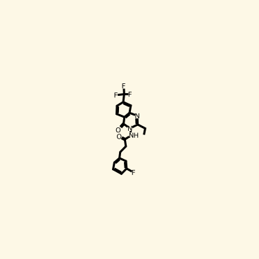 CCc1nc2cc(C(F)(F)F)ccc2c(=O)n1NC(=O)CCc1cccc(F)c1